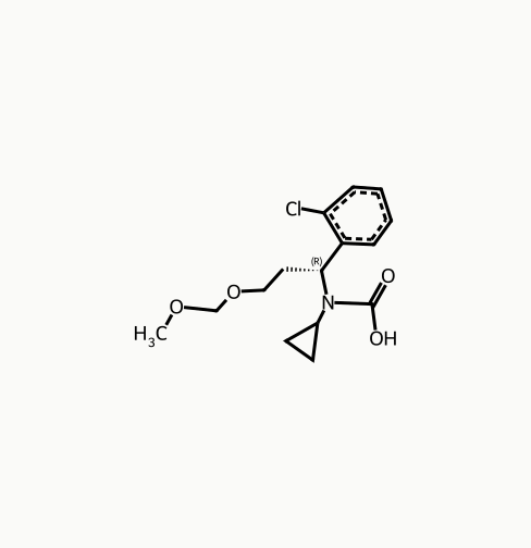 COCOCC[C@H](c1ccccc1Cl)N(C(=O)O)C1CC1